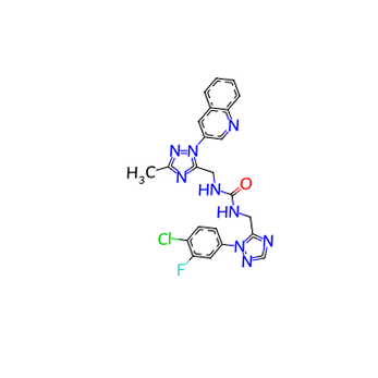 Cc1nc(CNC(=O)NCc2ncnn2-c2ccc(Cl)c(F)c2)n(-c2cnc3ccccc3c2)n1